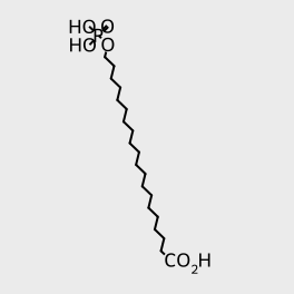 O=C(O)CCCCCCCCCCCCCCCCCCCOP(=O)(O)O